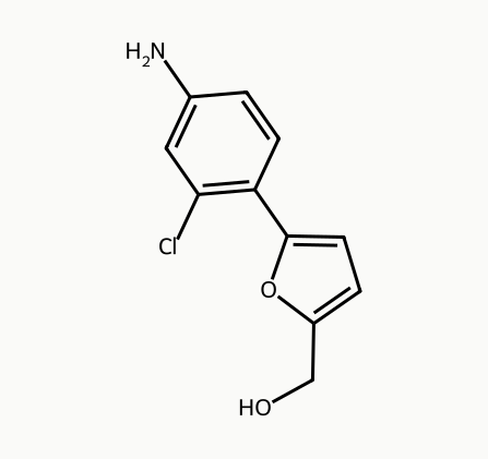 Nc1ccc(-c2ccc(CO)o2)c(Cl)c1